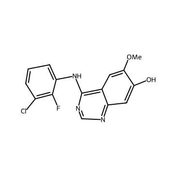 COc1cc2c(Nc3cccc(Cl)c3F)ncnc2cc1O